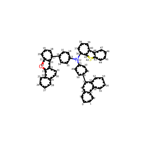 c1ccc2c(c1)cc(-c1ccc(N(c3ccc(-c4cccc5oc6c7ccccc7ccc6c45)cc3)c3cccc4c3sc3ccccc34)cc1)c1ccccc12